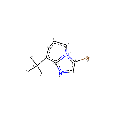 CC(C)(C)c1cccn2c(Br)cnc12